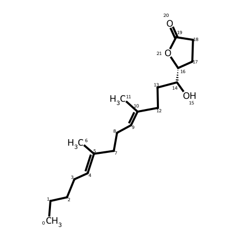 CCCC/C=C(\C)CC/C=C(\C)CCC(O)[C@H]1CCC(=O)O1